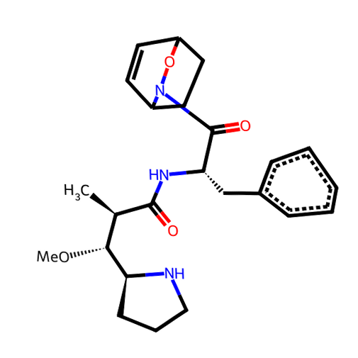 CO[C@@H]([C@@H]1CCCN1)[C@@H](C)C(=O)N[C@@H](Cc1ccccc1)C(=O)N1OC2C=CC1CC2